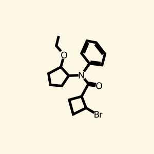 CCOC1CCCC1N(C(=O)C1CCC1Br)c1ccccc1